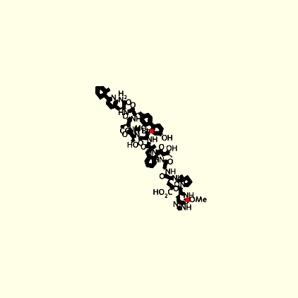 CCc1cc(O)ccc1-c1ccc(C[C@H](NC(=O)[C@H](CC(=O)O)NC(=O)[C@H](CO)NC(=O)[C@@H](NC(=O)C(C)(Cc2ccccc2F)NC(=O)[C@@H](NC(=O)CNC(=O)[C@H](CCC(=O)O)NC(=O)C2(C)CCCN2C(=O)[C@H](Cc2c[nH]cn2)NC(=O)OC)[C@@H](C)O)[C@@H](C)O)C(=O)N[C@@H](Cc2ccc(-c3ccccc3C)nc2)C(N)=O)cc1